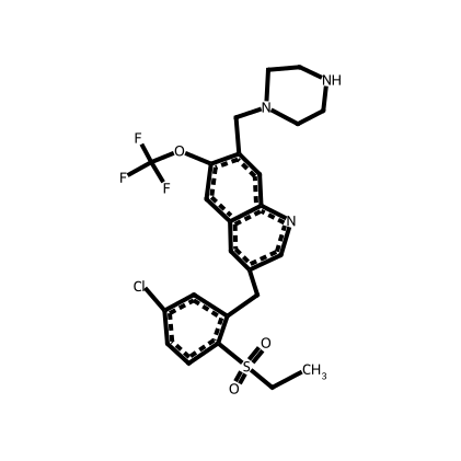 CCS(=O)(=O)c1ccc(Cl)cc1Cc1cnc2cc(CN3CCNCC3)c(OC(F)(F)F)cc2c1